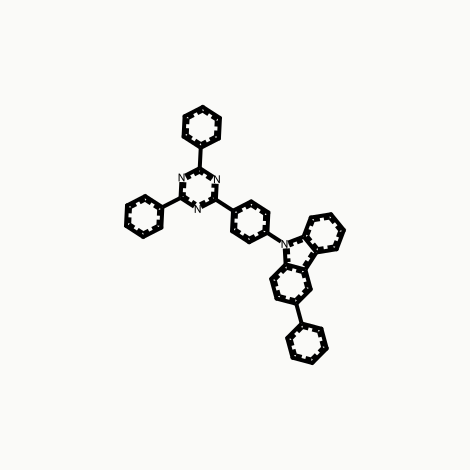 c1ccc(-c2ccc3c(c2)c2ccccc2n3-c2ccc(-c3nc(-c4ccccc4)nc(-c4ccccc4)n3)cc2)cc1